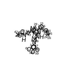 COc1cc(-n2cnc(Nc3nc(N4CCC[C@H]4CO[Si](C)(C)C(C)(C)C)c4c(C)nn([C@H]5C[C@H](NC(=O)OC(C)(C)C)C5)c4n3)c2)cc(OC)c1OC